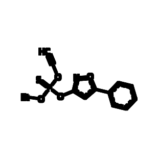 C#COP(=S)(OCC)Oc1cc(-c2ccccc2)on1